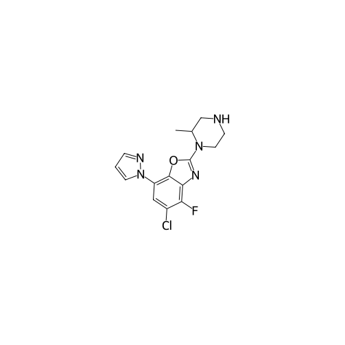 CC1CNCCN1c1nc2c(F)c(Cl)cc(-n3cccn3)c2o1